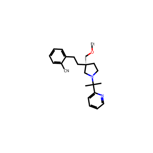 CCOC[C@]1(CCc2ccccc2C#N)CCN(C(C)(C)c2ccccn2)C1